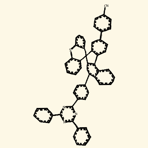 N#Cc1ccc(-c2ccc3c(c2)C2(c4ccccc4Sc4ccccc42)c2cc(-c4ccc(-c5nc(-c6ccccc6)nc(-c6ccccc6)n5)cc4)c4ccccc4c2-3)cc1